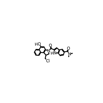 CN(C)C(=O)c1ccc2[nH]c(C(=O)N3CC(CCl)c4c3cc(O)c3ccccc43)cc2c1